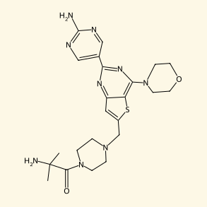 CC(C)(N)C(=O)N1CCN(Cc2cc3nc(-c4cnc(N)nc4)nc(N4CCOCC4)c3s2)CC1